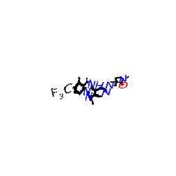 Cc1c([C@@H](C)Nc2nnc(C)c3cnc(N4CC5(CCN(C)C5=O)C4)cc23)cccc1C(F)(F)F